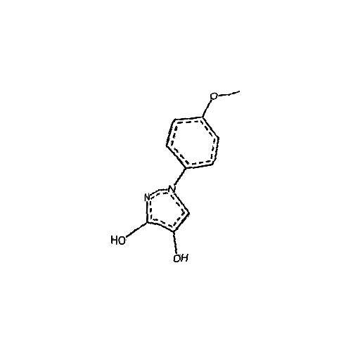 COc1ccc(-n2cc(O)c(O)n2)cc1